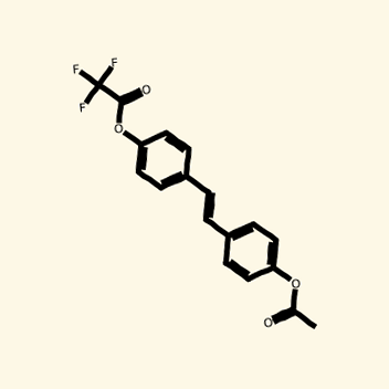 CC(=O)Oc1ccc(/C=C/c2ccc(OC(=O)C(F)(F)F)cc2)cc1